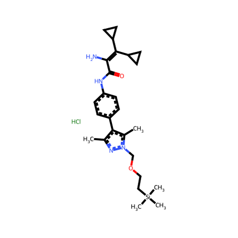 Cc1nn(COCC[Si](C)(C)C)c(C)c1-c1ccc(NC(=O)C(N)=C(C2CC2)C2CC2)cc1.Cl